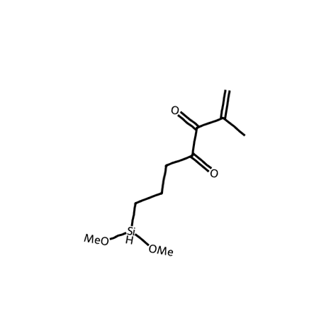 C=C(C)C(=O)C(=O)CCC[SiH](OC)OC